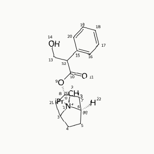 CC(C)[N+]1(C)C2CC[C@@H]1C[C@@H](OC(=O)C(CO)c1ccccc1)C2